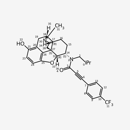 CC(C)CN(C(=O)C#Cc1ccc(C(F)(F)F)cc1)[C@H]1CC[C@H]2[C@H]3Cc4c(O)ccc5c4[C@@]2(CCN3C)[C@H]1O5